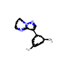 Cc1cc(C)cc(-c2cnn3cccnc23)c1